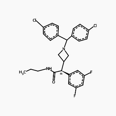 CCCNC(=O)[C@H](c1cc(F)cc(F)c1)C1CN(C(c2ccc(Cl)cc2)c2ccc(Cl)cc2)C1